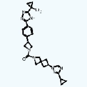 O=C(N1CC(c2ccc(-c3nnc(C4(C(F)(F)F)CC4)[nH]3)cc2)C1)N1CC2(CC(n3cnc(C4CC4)n3)C2)C1